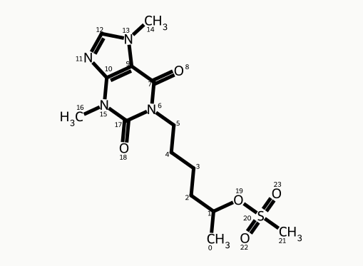 CC(CCCCn1c(=O)c2c(ncn2C)n(C)c1=O)OS(C)(=O)=O